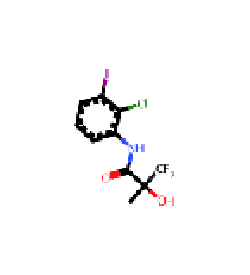 CC(O)(C(=O)Nc1cccc(I)c1Cl)C(F)(F)F